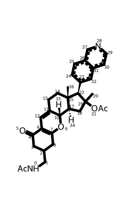 CC(=O)NCC1CC(=O)C2=C(C1)O[C@@H]1C(=C2)CC[C@@]2(C)[C@H]1CC(C)(OC(C)=O)[C@@H]2c1ccc2cnccc2c1